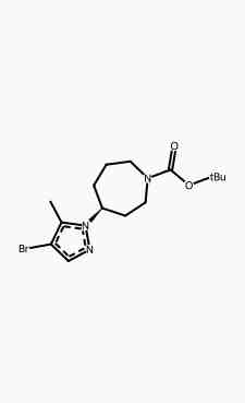 Cc1c(Br)cnn1[C@H]1CCCN(C(=O)OC(C)(C)C)CC1